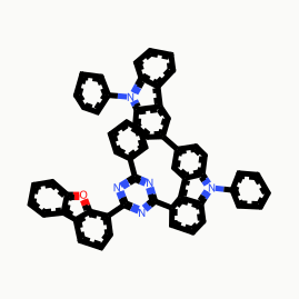 c1ccc(-c2nc(-c3cccc4c3oc3ccccc34)nc(-c3cccc4c3c3cc(-c5ccc6c(c5)c5ccccc5n6-c5ccccc5)ccc3n4-c3ccccc3)n2)cc1